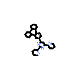 c1ccc(-c2cc(-c3ccc4c5ccccc5c5ccccc5c4c3)nc(-c3ccccn3)n2)nc1